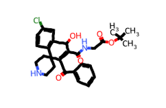 CC(C)(C)OC(=O)CNC(=O)C1=C(C(=O)c2ccccc2)C2(CCNCC2)c2ccc(Cl)cc2C1O